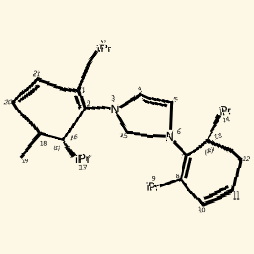 CC(C)C1=C(N2C=CN(C3=C(C(C)C)C=CC[C@@H]3C(C)C)C2)[C@@H](C(C)C)C(C)C=C1